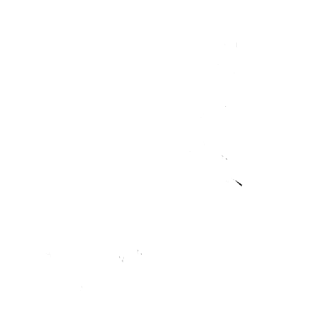 C[C@@H](c1ccc(-c2ccc(C(=O)O)nn2)cc1)N1CCC(CC(C)(C)O)(c2ccccc2)OC1=O